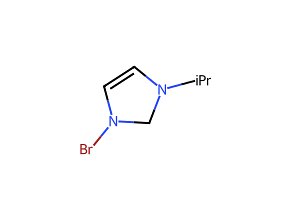 CC(C)N1C=CN(Br)C1